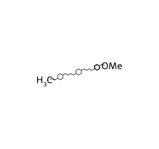 CC=CC1CCC(CCCCC2CCC(CCCCc3ccc(COC)cc3)CC2)CC1